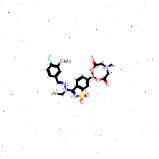 COc1cc(/C=N/N(CC(C)C)C2=NS(=O)(=O)c3cc(B4OC(=O)CN(C)CC(=O)O4)ccc32)ccc1F